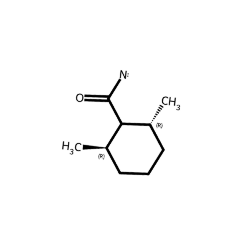 C[C@@H]1CCC[C@@H](C)C1C([N])=O